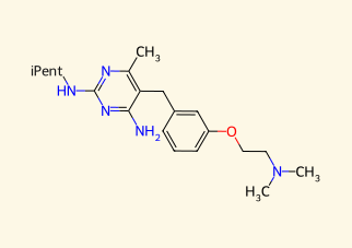 CCCC(C)Nc1nc(C)c(Cc2cccc(OCCN(C)C)c2)c(N)n1